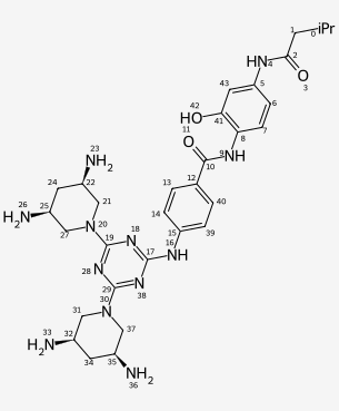 CC(C)CC(=O)Nc1ccc(NC(=O)c2ccc(Nc3nc(N4C[C@H](N)C[C@H](N)C4)nc(N4C[C@H](N)C[C@H](N)C4)n3)cc2)c(O)c1